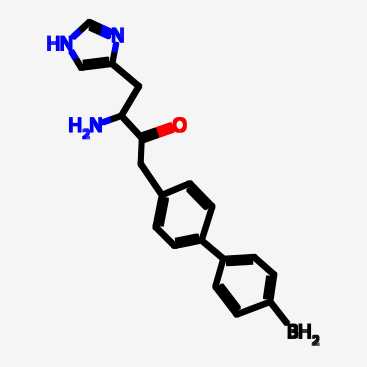 Bc1ccc(-c2ccc(CC(=O)C(N)Cc3c[nH]cn3)cc2)cc1